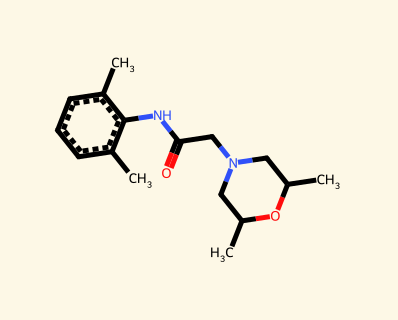 Cc1cccc(C)c1NC(=O)CN1CC(C)OC(C)C1